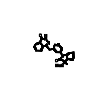 CNC1(C)C(=O)N(c2cncc(Cc3n[nH]c(=O)c4ccccc34)c2)c2ccccc21